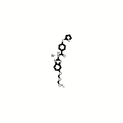 CCOCOc1ccc2nc(NC(=O)c3ccc([I+]c4cccs4)cc3)sc2c1.[Br-]